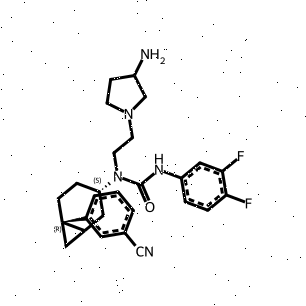 N#Cc1cccc([C@@]23CC[C@H](N(CCN4CCC(N)C4)C(=O)Nc4ccc(F)c(F)c4)CC2C3)c1